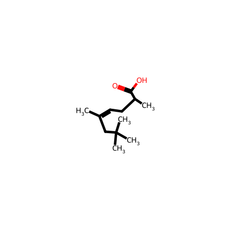 CC(=CCC(C)C(=O)O)CC(C)(C)C